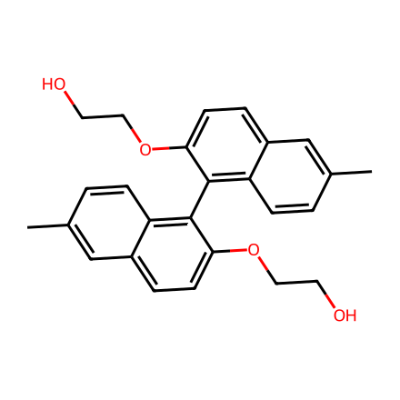 Cc1ccc2c(-c3c(OCCO)ccc4cc(C)ccc34)c(OCCO)ccc2c1